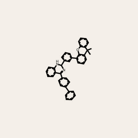 CC1(C)c2ccccc2Oc2c(-c3cccc(C4N=C(c5ccc(-c6ccccc6)cc5)c5ccccc5N4)c3)cccc21